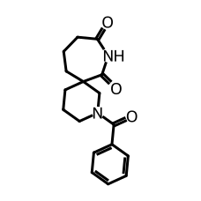 O=C1CCCC2(CCCN(C(=O)c3ccccc3)C2)C(=O)N1